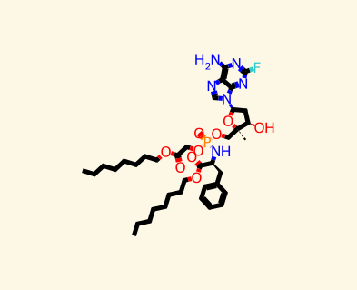 CCCCCCCCOC(=O)COP(=O)(N[C@@H](Cc1ccccc1)C(=O)OCCCCCCCC)OC[C@@]1(C)O[C@@H](n2cnc3c(N)nc(F)nc32)C[C@@H]1O